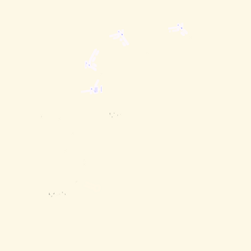 CNC(=O)c1cc(OC)c(C(C)CNc2cc(-c3ccc(C)nc3)ncn2)s1